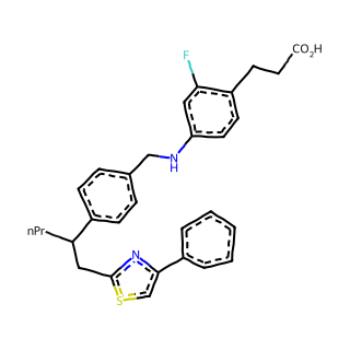 CCCC(Cc1nc(-c2ccccc2)cs1)c1ccc(CNc2ccc(CCC(=O)O)c(F)c2)cc1